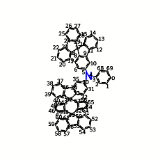 c1ccc(N(c2ccc3c(c2)-c2ccccc2C32c3ccccc3-c3ccccc32)c2ccc3c(c2)-c2ccccc2C32c3ccccc3C3(c4ccccc4-c4ccccc43)c3ccccc32)cc1